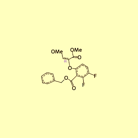 CO/C=C(/Oc1ccc(F)c(F)c1C(=O)OCc1ccccc1)C(=O)OC